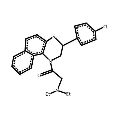 CCN(CC)CC(=O)N1CC(c2ccc(Cl)cc2)Sc2ccc3ccccc3c21